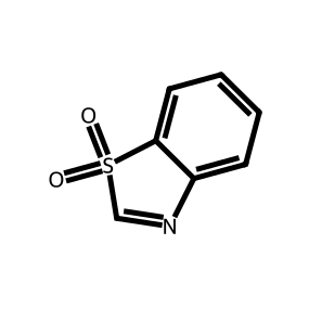 O=S1(=O)C=Nc2ccccc21